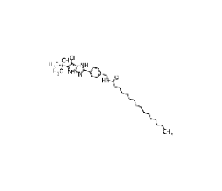 CCCCCCCCCCCCCCCC(=O)NCc1ccc(-c2nn3nc(C(C)(C)C)c(Cl)c3[nH]2)cc1